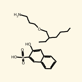 CCCCC(CC)COCCCN.O=S(=O)(O)c1cc2ccccc2cc1O